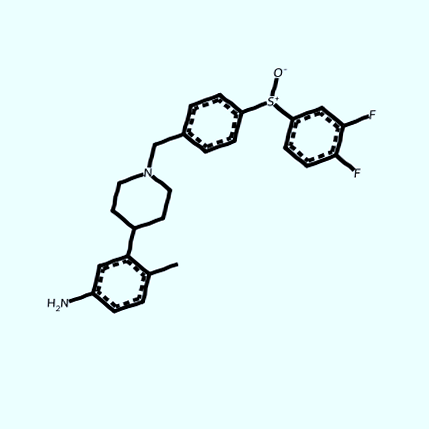 Cc1ccc(N)cc1C1CCN(Cc2ccc([S+]([O-])c3ccc(F)c(F)c3)cc2)CC1